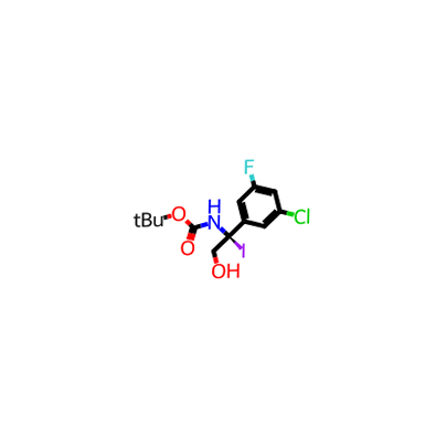 CC(C)(C)OC(=O)N[C@@](I)(CO)c1cc(F)cc(Cl)c1